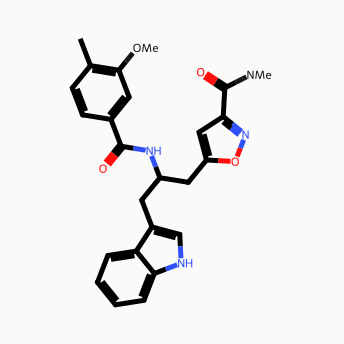 CNC(=O)c1cc(CC(Cc2c[nH]c3ccccc23)NC(=O)c2ccc(C)c(OC)c2)on1